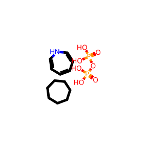 C1=CC=CNC=C1.C1CCCCCC1.O=P(O)(O)OP(=O)(O)O